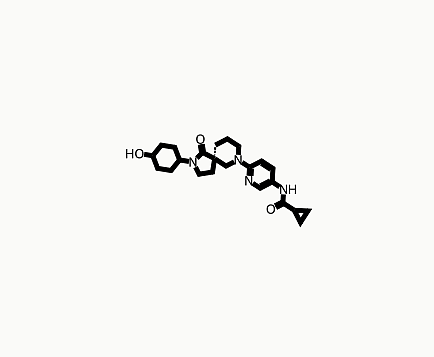 O=C(Nc1ccc(N2CCC[C@@]3(CCN(C4CCC(O)CC4)C3=O)C2)nc1)C1CC1